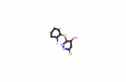 Oc1cc(Cl)nnc1Oc1ccccc1I